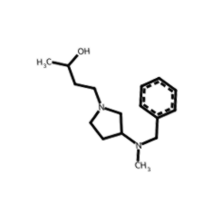 CC(O)CCN1CCC(N(C)Cc2ccccc2)C1